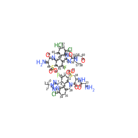 CC(C)(C)n1nnc(-c2cc3c(cc2F)S(=O)(=O)C[C@H](NC(=O)CN)C(=O)N3Cc2ccc(Cl)cc2)n1.Cl.N[C@H]1CS(=O)(=O)c2cc(F)c(-c3noc(N4C5CCC4COC5)n3)cc2N(Cc2ccc(Cl)cc2)C1=O